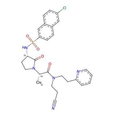 C[C@@H](C(=O)N(CCC#N)CCc1ccccn1)N1CC[C@H](NS(=O)(=O)c2ccc3cc(Cl)ccc3c2)C1=O